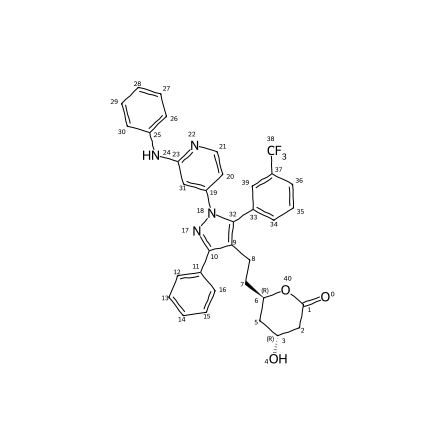 O=C1C[C@H](O)C[C@@H](CCc2c(-c3ccccc3)nn(-c3ccnc(Nc4ccccc4)c3)c2-c2cccc(C(F)(F)F)c2)O1